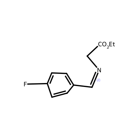 CCOC(=O)C/N=C\c1ccc(F)cc1